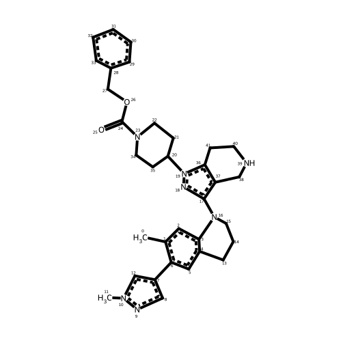 Cc1cc2c(cc1-c1cnn(C)c1)CCCN2c1nn(C2CCN(C(=O)OCc3ccccc3)CC2)c2c1CNCC2